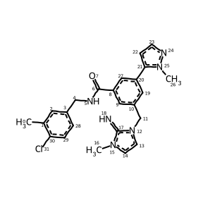 Cc1cc(CNC(=O)c2cc(Cn3ccn(C)c3=N)cc(-c3ccnn3C)c2)ccc1Cl